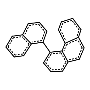 [c]1cccc2cccc(-c3cccc4ccc5ccccc5c34)c12